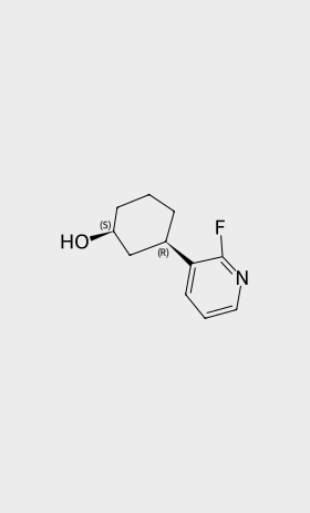 O[C@H]1CCC[C@@H](c2cccnc2F)C1